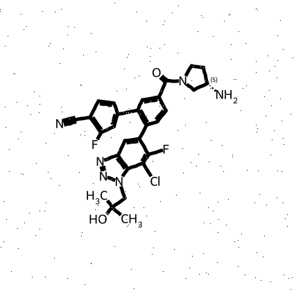 CC(C)(O)Cn1nnc2cc(-c3ccc(C(=O)N4CC[C@H](N)C4)cc3-c3ccc(C#N)c(F)c3)c(F)c(Cl)c21